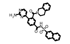 Nc1nccc(-c2ccc(C(=O)NS(=O)(=O)c3ccc4ccccc4c3)cc2C(=O)N2CCc3ccccc3C2)n1